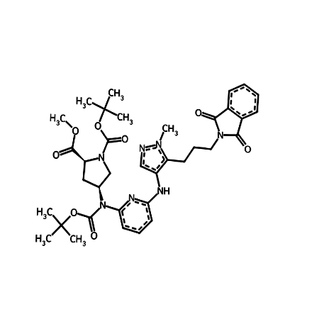 COC(=O)[C@@H]1C[C@H](N(C(=O)OC(C)(C)C)c2cccc(Nc3cnn(C)c3CCCN3C(=O)c4ccccc4C3=O)n2)CN1C(=O)OC(C)(C)C